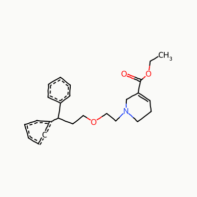 CCOC(=O)C1=CCCN(CCOCCC(c2ccccc2)c2ccccc2)C1